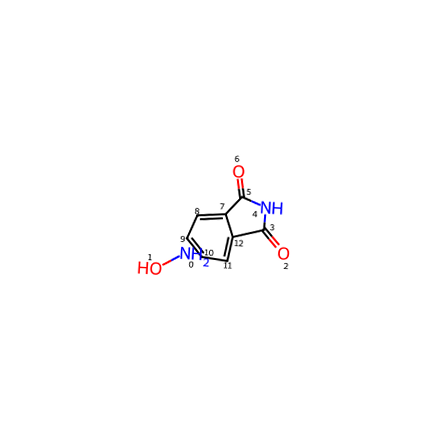 NO.O=C1NC(=O)c2ccccc21